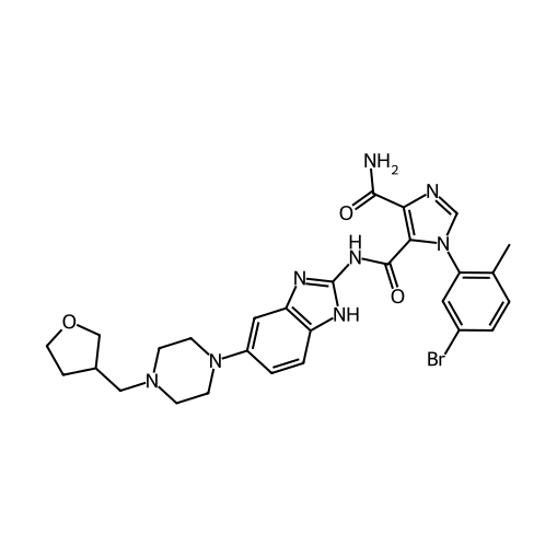 Cc1ccc(Br)cc1-n1cnc(C(N)=O)c1C(=O)Nc1nc2cc(N3CCN(CC4CCOC4)CC3)ccc2[nH]1